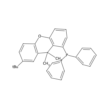 CC(C)(C)c1ccc2c(c1)C(C)(C)c1c(cccc1P(c1ccccc1)c1ccccc1)O2